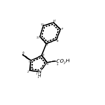 Cc1c[nH]c(C(=O)O)c1-c1ccccc1